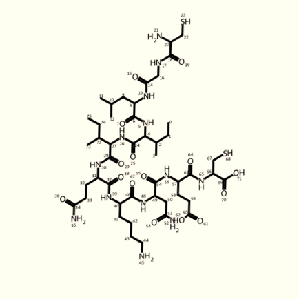 CCC(C)C(NC(=O)C(CC(C)C)NC(=O)CNC(=O)C(N)CS)C(=O)NC(C(=O)NC(CCC(N)=O)C(=O)NC(CCCCN)C(=O)NC(CC(N)=O)C(=O)NC(CCC(=O)O)C(=O)NC(CS)C(=O)O)C(C)CC